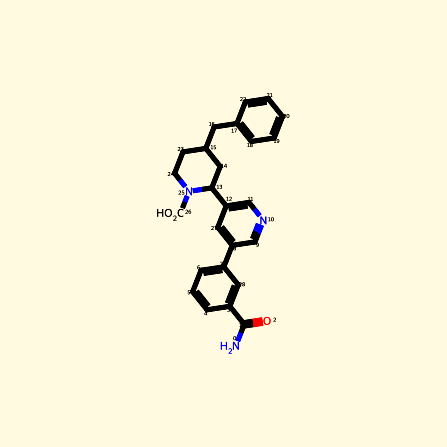 NC(=O)c1cccc(-c2cncc(C3CC(Cc4ccccc4)CCN3C(=O)O)c2)c1